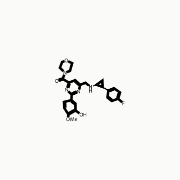 COc1ccc(-c2nc(CN[C@@H]3C[C@H]3c3ccc(F)cc3)cc(C(=O)N3CCOCC3)n2)cc1O